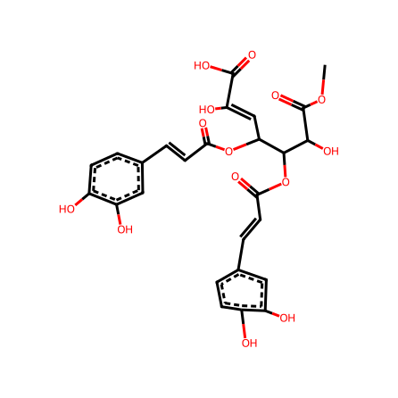 COC(=O)C(O)C(OC(=O)/C=C/c1ccc(O)c(O)c1)C(/C=C(\O)C(=O)O)OC(=O)/C=C/c1ccc(O)c(O)c1